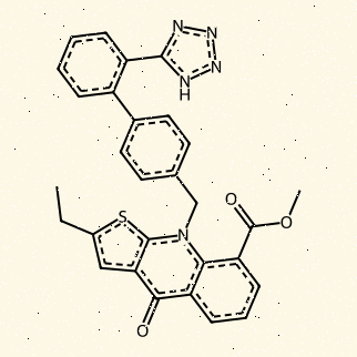 CCc1cc2c(=O)c3cccc(C(=O)OC)c3n(Cc3ccc(-c4ccccc4-c4nnn[nH]4)cc3)c2s1